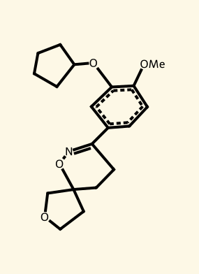 COc1ccc(C2=NOC3(CCOC3)CC2)cc1OC1CCCC1